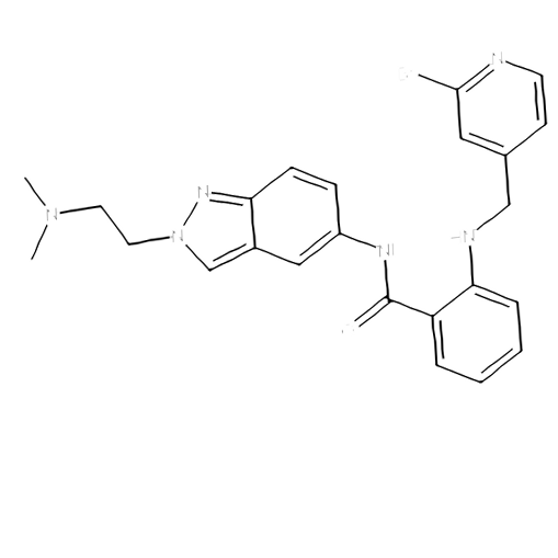 CN(C)CCn1cc2cc(NC(=O)c3ccccc3NCc3ccnc(Br)c3)ccc2n1